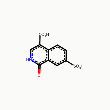 O=C(O)c1c[nH]c(=O)c2cc(S(=O)(=O)O)ccc12